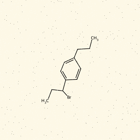 CCCc1ccc(C(Br)CC)cc1